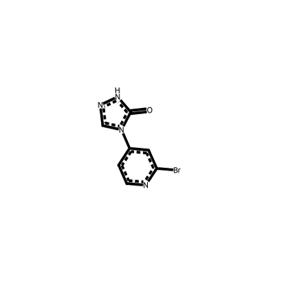 O=c1[nH]ncn1-c1ccnc(Br)c1